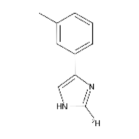 [2H]c1nc(-c2cccc(C)c2)c[nH]1